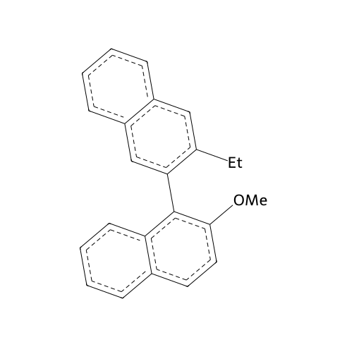 CCc1cc2ccccc2cc1-c1c(OC)ccc2ccccc12